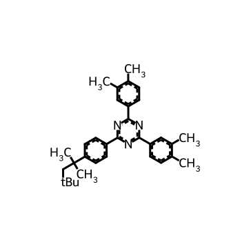 Cc1ccc(-c2nc(-c3ccc(C(C)(C)CC(C)(C)C)cc3)nc(-c3ccc(C)c(C)c3)n2)cc1C